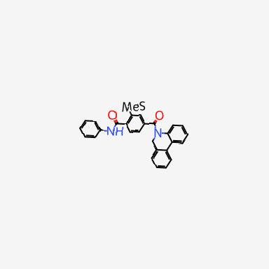 CSc1cc(C(=O)N2Cc3ccccc3-c3ccccc32)ccc1C(=O)Nc1ccccc1